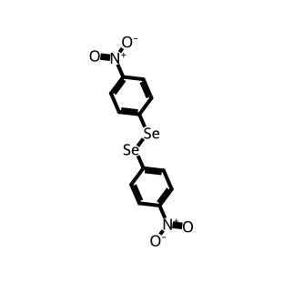 O=[N+]([O-])c1ccc([Se][Se]c2ccc([N+](=O)[O-])cc2)cc1